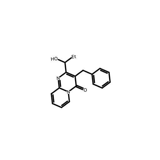 CCC(O)c1nc2ccccn2c(=O)c1Cc1ccccc1